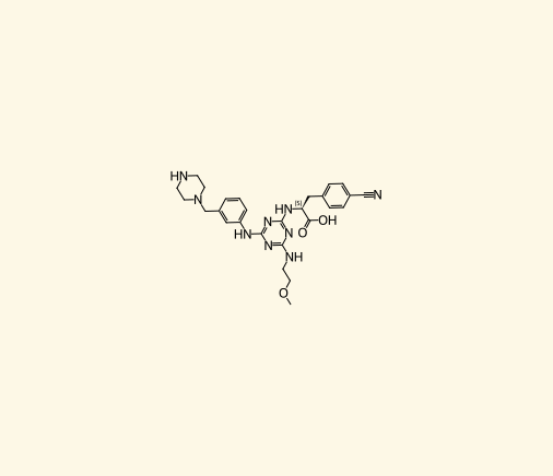 COCCNc1nc(Nc2cccc(CN3CCNCC3)c2)nc(N[C@@H](Cc2ccc(C#N)cc2)C(=O)O)n1